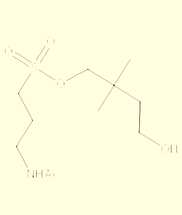 CC(=O)NCCCS(=O)(=O)OCC(C)(C)CCO